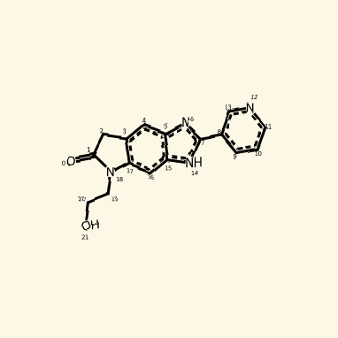 O=C1Cc2cc3nc(-c4cccnc4)[nH]c3cc2N1CCO